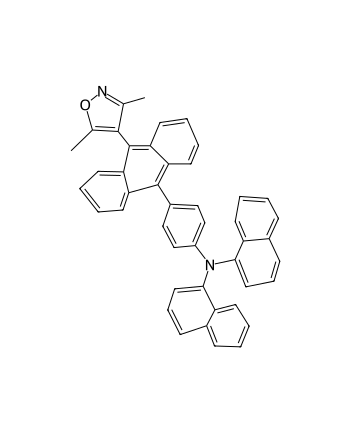 Cc1noc(C)c1-c1c2ccccc2c(-c2ccc(N(c3cccc4ccccc34)c3cccc4ccccc34)cc2)c2ccccc12